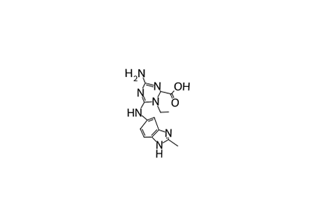 CCN1C(Nc2ccc3[nH]c(C)nc3c2)=NC(N)=NC1C(=O)O